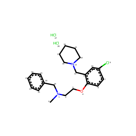 CN(CCOc1ccc(Cl)cc1CN1CCCCC1)Cc1ccccc1.Cl.Cl